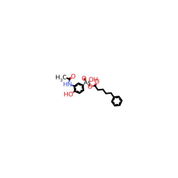 CC(=O)Nc1cc([As](=O)(O)OC(=O)CCCCc2ccccc2)ccc1O